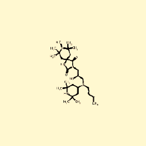 CCCCN(CC(O)CN1C(=O)NC2(CC(C)(C)N(C)C(C)(C)C2)C1=O)C1CC(C)(C)NC(C)(C)C1